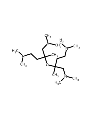 CN(C)CCC(C)(CN(C)C)OC(C)(CCN(C)C)CN(C)C